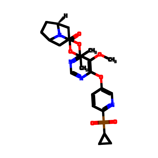 COc1c(Oc2ccc(S(=O)(=O)C3CC3)nc2)ncnc1OC1CC2CC[C@@H](C1)N2C(=O)OC(C)C